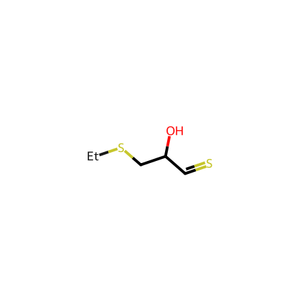 CCSCC(O)C=S